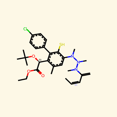 C=C(/C=C\C)N(C)N(C)N(C)c1cc(C)c([C@H](OC(C)(C)C)C(=O)OCC)c(-c2ccc(Cl)cc2)c1S